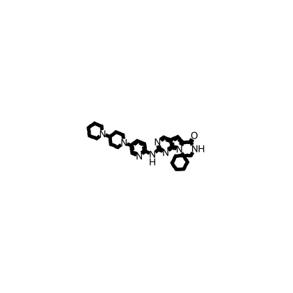 O=C1NCC2(CCCCC2)n2c1cc1cnc(Nc3ccc(N4CCC(N5CCCCC5)CC4)cn3)nc12